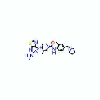 Cc1cc(CN2CCCC2)ccc1NC(=O)N1CCN(c2nc(N)nc3scnc23)C(C)C1